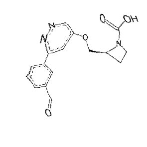 O=Cc1cccc(-c2cc(OC[C@@H]3CCN3C(=O)O)cnn2)c1